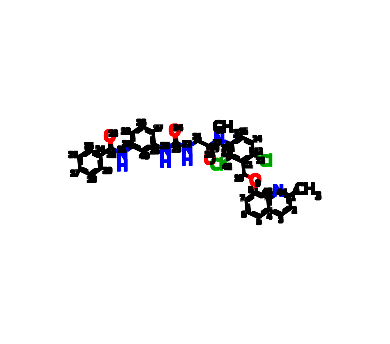 Cc1ccc2cccc(OCc3c(Cl)ccc(N(C)C(=O)CNC(=O)Nc4cccc(NC(=O)c5ccccc5)c4)c3Cl)c2n1